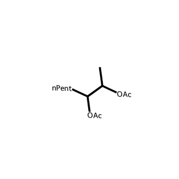 CCCCCC(OC(C)=O)C(C)OC(C)=O